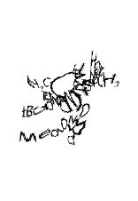 CC[C@@H]1C[C@@H](C)CC/C=C\[C@@H]2C[C@@]2(C(=O)NS(=O)(=O)C2(C)CC2)NC(=O)[C@@H]2C[C@@H](Oc3nc(OCCOC)cc4c(Cl)cccc34)CN2C(=O)[C@H]1NC(=O)OC(C)(C)C